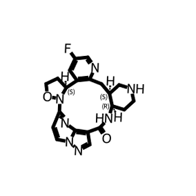 O=C1N[C@@H]2CCNC[C@@H]2Cc2ncc(F)cc2[C@@H]2CCON2c2ccn3ncc1c3n2